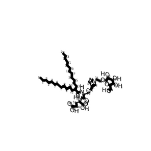 CCCCCCCCCCCCC(CCCCCCCCCCCC)C(=O)N[C@@H](COCc1cn(CCO[C@@H]2OC(CO)[C@@H](O)C(O)C2O)nn1)C(=O)N[C@H](CCC(=O)O)C(=O)O